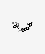 Nc1ncc(CNC(=O)c2ccc3c(c2)c2oc3c3ccc(-c4ccc(F)cc4F)cc32)c2ccccc12